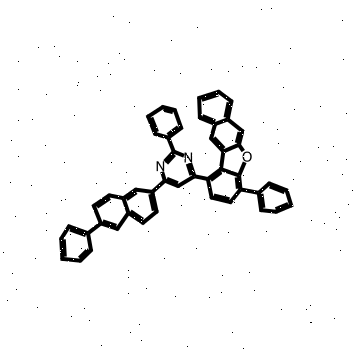 c1ccc(-c2ccc3cc(-c4cc(-c5ccc(-c6ccccc6)c6oc7cc8ccccc8cc7c56)nc(-c5ccccc5)n4)ccc3c2)cc1